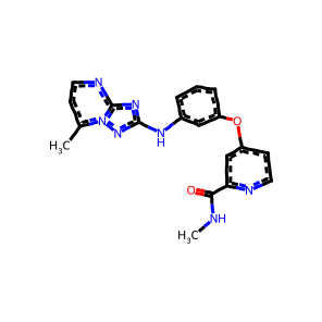 CNC(=O)c1cc(Oc2cccc(Nc3nc4nccc(C)n4n3)c2)ccn1